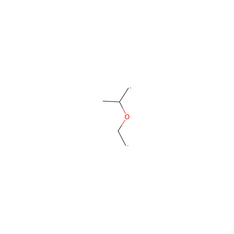 [CH2]COC([CH2])C